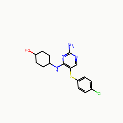 Nc1ncc(Sc2ccc(Cl)cc2)c(NC2CCC(O)CC2)n1